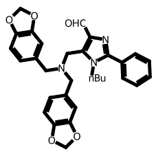 CCCCn1c(-c2ccccc2)nc(C=O)c1CN(Cc1ccc2c(c1)OCO2)Cc1ccc2c(c1)OCO2